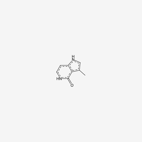 Cc1c[nH]c2cc[nH]c(=O)c12